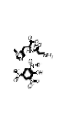 Cn1cncc1C[C@H](NC(=O)CCN)C(=O)O.O=[N+]([O-])c1cc([N+](=O)[O-])c(O)c([N+](=O)[O-])c1